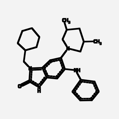 CC1CC(C)CN(c2cc3c(cc2Nc2ccccc2)[nH]c(=O)n3CC2CCCCC2)C1